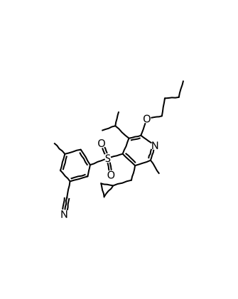 CCCCOc1nc(C)c(CC2CC2)c(S(=O)(=O)c2cc(C)cc(C#N)c2)c1C(C)C